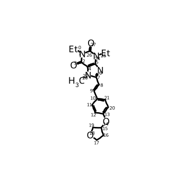 CCn1c(=O)c2c(nc(/C=C/c3ccc(OC4CCOC4)cc3)n2C)n(CC)c1=O